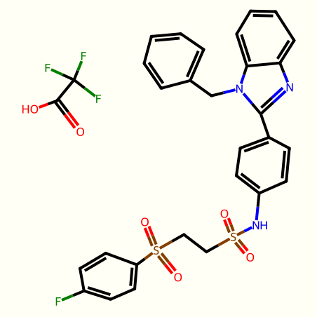 O=C(O)C(F)(F)F.O=S(=O)(CCS(=O)(=O)c1ccc(F)cc1)Nc1ccc(-c2nc3ccccc3n2Cc2ccccc2)cc1